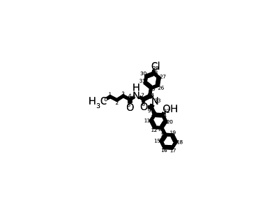 CCCCC(=O)Nc1oc(-c2ccc(-c3ccccc3)cc2O)nc1-c1ccc(Cl)cc1